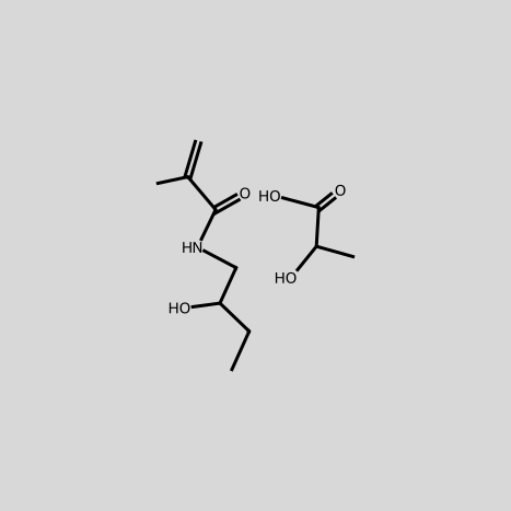 C=C(C)C(=O)NCC(O)CC.CC(O)C(=O)O